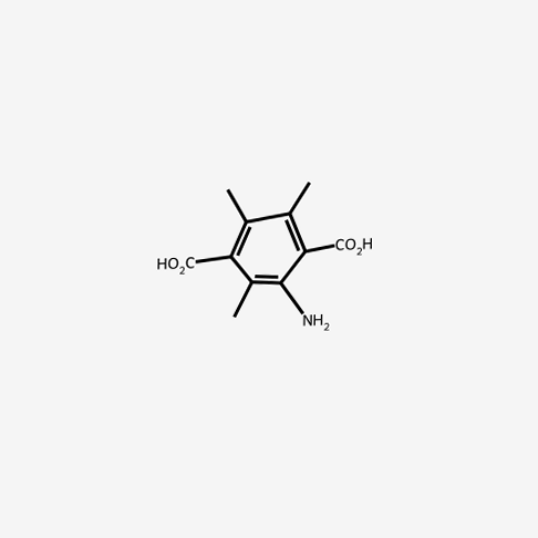 Cc1c(C)c(C(=O)O)c(N)c(C)c1C(=O)O